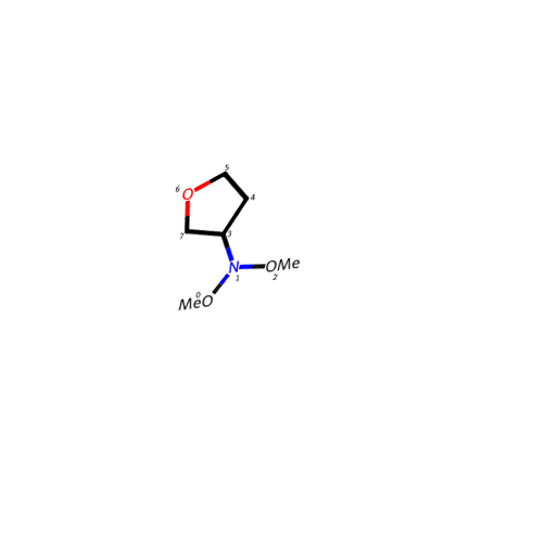 CON(OC)C1CCOC1